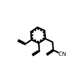 C=Cc1cccc(CC(=C)C#N)c1C=C